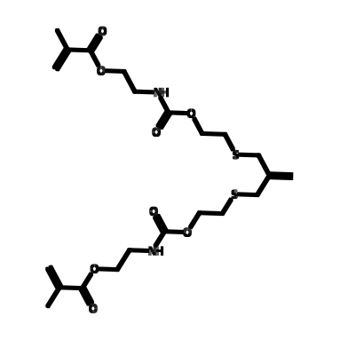 C=C(CSCCOC(=O)NCCOC(=O)C(=C)C)CSCCOC(=O)NCCOC(=O)C(=C)C